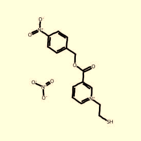 O=C(OCc1ccc([N+](=O)[O-])cc1)c1ccc[n+](CCS)c1.O=[N+]([O-])[O-]